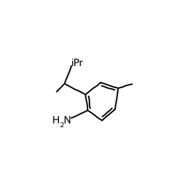 Cc1ccc(N)c(C(C)C(C)C)c1